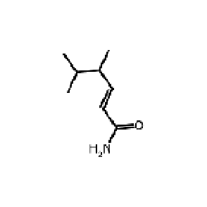 CC(C)C(C)/C=C/C(N)=O